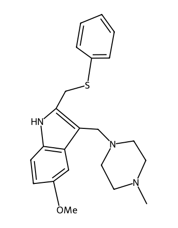 COc1ccc2[nH]c(CSc3ccccc3)c(CN3CCN(C)CC3)c2c1